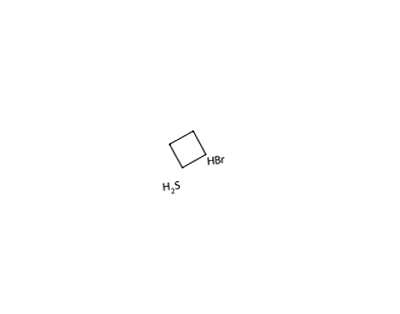 Br.C1CCC1.S